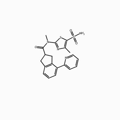 Cc1nc(N(C)C(=O)C2Cc3cccc(-c4ccccn4)c3C2)sc1S(N)(=O)=O